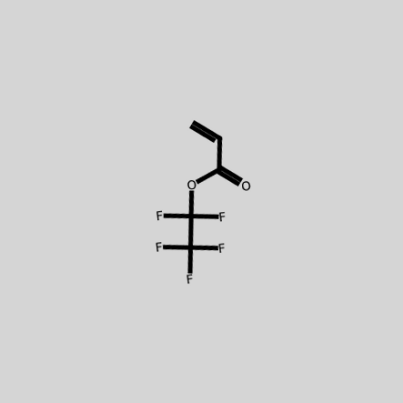 C=CC(=O)OC(F)(F)C(F)(F)F